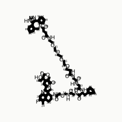 CC[C@]1(O)C(=O)OCc2c1cc1n(c2=O)Cc2c-1nc1cc(F)c(C)c3c1c2[C@H](NC(=O)COCNC(=O)CNC(=O)C(Cc1ccccc1)NC(=O)CNC(=O)CNC(=O)CCOCCOCCOCCOCCNC(=O)CCC(=O)N1Cc2ccccc2-c2[nH]nnc2-c2ccccc21)CC3